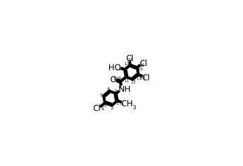 Cc1cc(Cl)ccc1NC(=O)c1cc(Cl)c(Cl)c(Cl)c1O